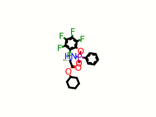 C[C@H](NP(=O)(Oc1c(F)c(F)c(F)c(F)c1F)c1ccccc1)C(=O)OC1CCCCC1